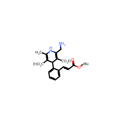 CCOC(=O)C1=C(C)NC(CN)=C(C(=O)OCC)C1c1ccccc1/C=C/C(=O)OC(C)(C)C